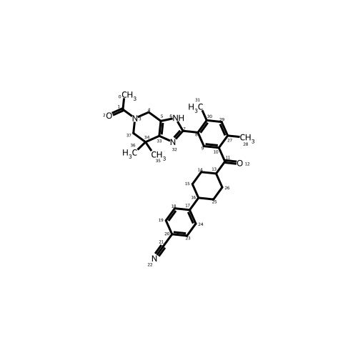 CC(=O)N1Cc2[nH]c(-c3cc(C(=O)C4CCC(c5ccc(C#N)cc5)CC4)c(C)cc3C)nc2C(C)(C)C1